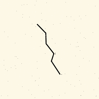 [CH2]C[C]CCC